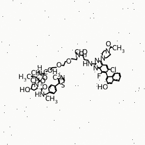 CC(=O)N1CCN(c2nc(NCCC(=O)N(C)CCOCCOCCOCC(=O)N[C@H](C(=O)N3C[C@H](O)C[C@H]3C(=O)N[C@@H](C)c3ccc(-c4scnc4C)cc3)C(C)(C)C)nc3c(F)c(-c4cc(O)cc5ccccc45)c(Cl)cc23)CC1